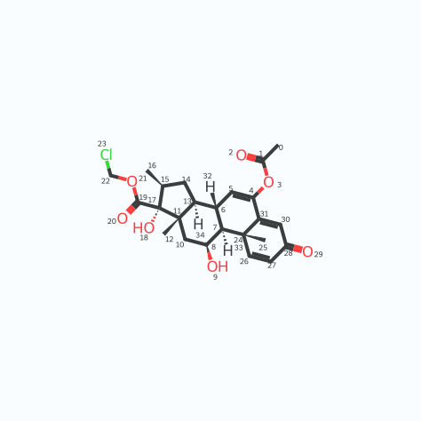 CC(=O)OC1=C[C@@H]2[C@H]([C@@H](O)C[C@@]3(C)[C@H]2C[C@H](C)[C@]3(O)C(=O)OCCl)[C@@]2(C)C=CC(=O)C=C12